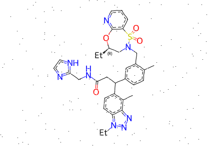 CC[C@@H]1CN(Cc2cc(C(CC(=O)NCc3ncc[nH]3)c3ccc4c(nnn4CC)c3C)ccc2C)S(=O)(=O)c2cccnc2O1